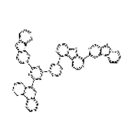 C1=Cc2c(-c3nc(-c4cccc(-c5cccc6oc7c(-c8ccc9sc%10ccccc%10c9c8)cccc7c56)c4)nc(-c4ccc5sc6ccccc6c5c4)n3)cc3ccccc3c2CC1